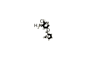 CN1CCC[C@@H]1COc1cnc(Cl)c(N)c1